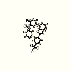 CS(=O)(=O)c1ccc(-c2cc3nccc(-c4ccc(F)c(C(=O)N5CCOCC5)c4)c3o2)cc1